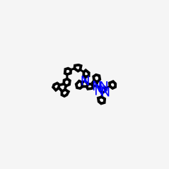 c1ccc(-c2nc(-c3ccccc3)nc(-n3c4ccccc4c4c3ccc3c5ccccc5n(-c5cccc(-c6cccc(-c7cccc(-c8ccc9c%10ccccc%10c%10ccccc%10c9c8)c7)c6)c5)c34)n2)cc1